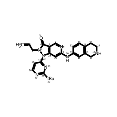 C=CCn1c(=O)c2cnc(Nc3ccc4c(c3)CNCC4)cc2n1-c1ccnc(C(C)(C)C)n1